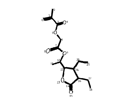 C=C(C)C(=O)OCC(=O)OC(C)C1OC(=O)C(CC)C1CC